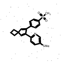 CSc1ccc(C2=CC3(C=C2c2ccc(S(C)(=O)=O)cc2)CCC3)nc1